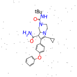 CC(C)(C)NC(=O)N1CCN2C(C3CC3)=C(c3ccc(Oc4ccccc4)cc3)C(C(N)=O)C2C1